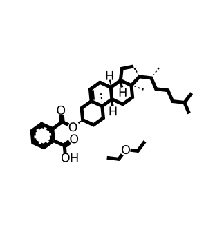 CC(C)CCC[C@@H](C)[C@H]1CC[C@H]2[C@@H]3CC=C4C[C@@H](OC(=O)c5ccccc5C(=O)O)CC[C@]4(C)[C@H]3CC[C@]12C.CCOCC